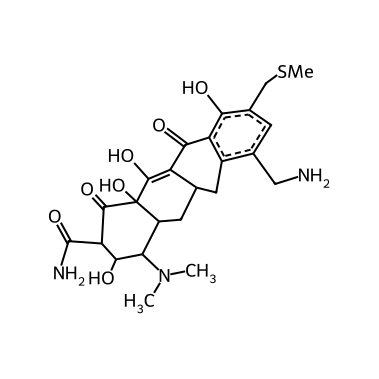 CSCc1cc(CN)c2c(c1O)C(=O)C1=C(O)C3(O)C(=O)C(C(N)=O)C(O)C(N(C)C)C3CC1C2